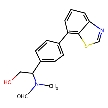 CN(C=O)C(CO)c1ccc(-c2cccc3ncsc23)cc1